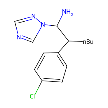 CCCCC(c1ccc(Cl)cc1)C(N)n1cncn1